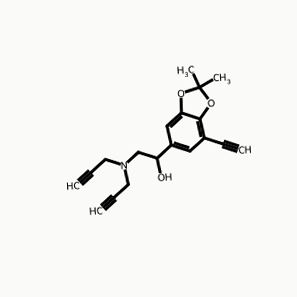 C#CCN(CC#C)CC(O)c1cc(C#C)c2c(c1)OC(C)(C)O2